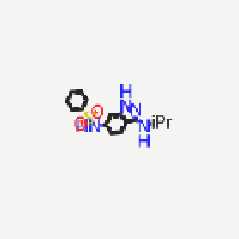 CC(C)Nc1n[nH]c2cc(NS(=O)(=O)c3ccccc3)ccc12